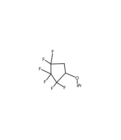 CC(C)OC1CC(F)(F)C(F)(F)C1(F)F